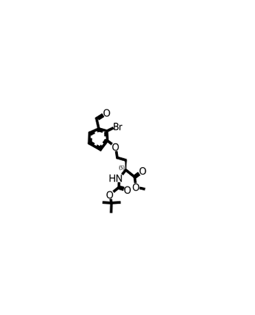 COC(=O)[C@H](CCOc1cccc(C=O)c1Br)NC(=O)OC(C)(C)C